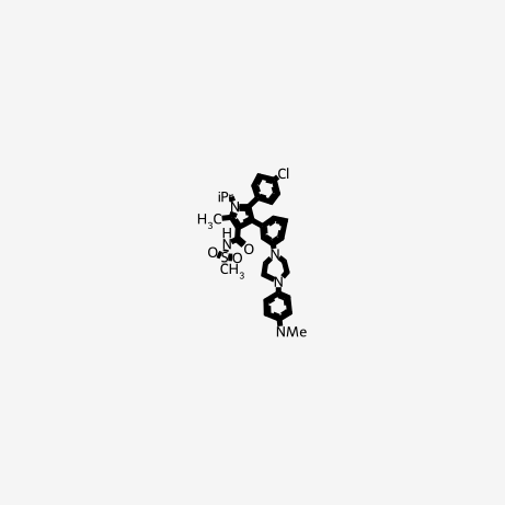 CNc1ccc(N2CCN(c3cccc(-c4c(C(=O)NS(C)(=O)=O)c(C)n(C(C)C)c4-c4ccc(Cl)cc4)c3)CC2)cc1